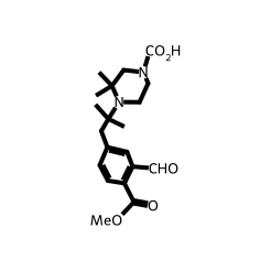 COC(=O)c1ccc(CC(C)(C)N2CCN(C(=O)O)CC2(C)C)cc1C=O